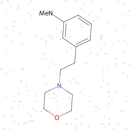 CNc1cccc(CCN2CCOCC2)c1